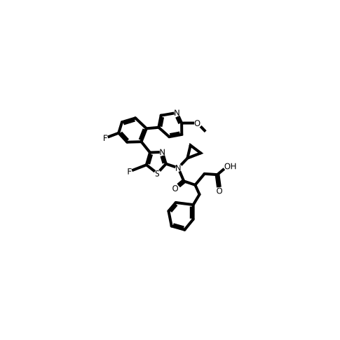 COc1ccc(-c2ccc(F)cc2-c2nc(N(C(=O)C(CC(=O)O)Cc3ccccc3)C3CC3)sc2F)cn1